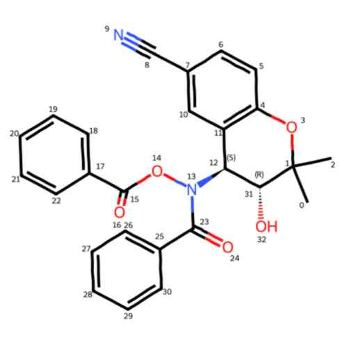 CC1(C)Oc2ccc(C#N)cc2[C@H](N(OC(=O)c2ccccc2)C(=O)c2ccccc2)[C@H]1O